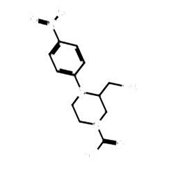 O=C(O)N1CCN(c2ccc([N+](=O)[O-])cc2)C(CO)C1